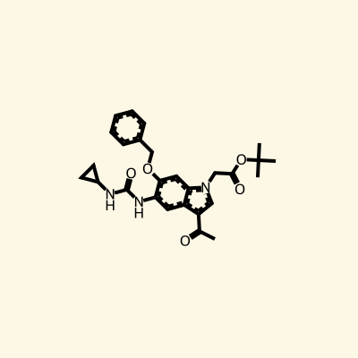 CC(=O)c1cn(CC(=O)OC(C)(C)C)c2cc(OCc3ccccc3)c(NC(=O)NC3CC3)cc12